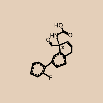 O=C[C@]1(NC(=O)O)C=CCc2ccc(-c3ccccc3F)cc21